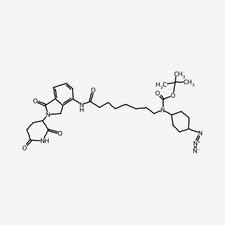 CC(C)(C)OC(=O)N(CCCCCCCC(=O)Nc1cccc2c1CN(C1CCC(=O)NC1=O)C2=O)C1CCC(N=[N+]=[N-])CC1